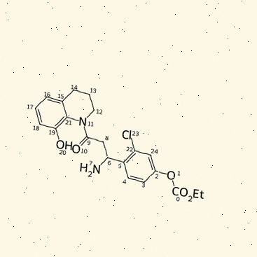 CCOC(=O)Oc1ccc(C(N)CC(=O)N2CCCc3cccc(O)c32)c(Cl)c1